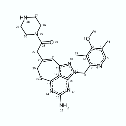 COc1c(C)cnc(Cn2nc3c4c(nc(N)nc42)SCC(CC(=O)N2CCNCC2)=C3)c1C